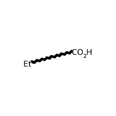 CCC=CCCCCCC=CCCC=CCCCCC(=O)O